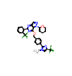 Cn1cc(C(F)(F)F)nc1-c1ccc(COc2nc(-c3ccccc3C(F)(F)F)nc3cnn(C4CCCCO4)c23)cc1